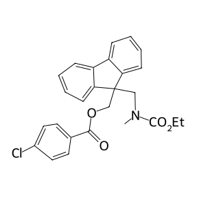 CCOC(=O)N(C)CC1(COC(=O)c2ccc(Cl)cc2)c2ccccc2-c2ccccc21